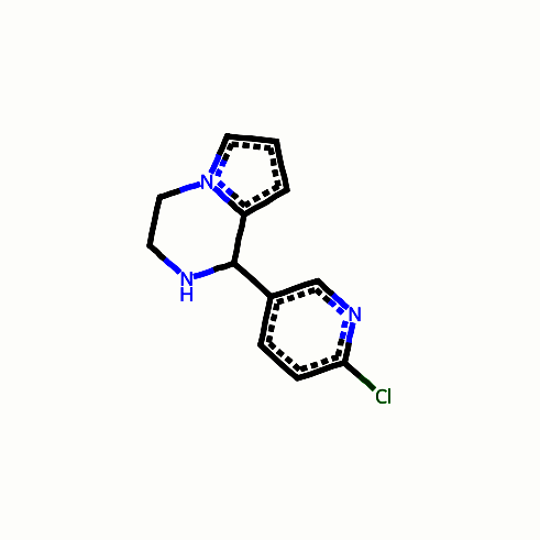 Clc1ccc(C2NCCn3cccc32)cn1